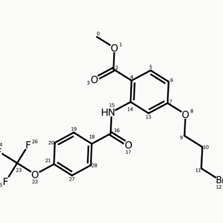 COC(=O)c1ccc(OCCCBr)cc1NC(=O)c1ccc(OC(F)(F)F)cc1